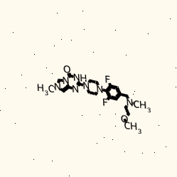 COCCN(C)Cc1cc(F)c(N2CCN(C3=NC4=CN(C)CN4C(=O)N3)CC2)c(F)c1